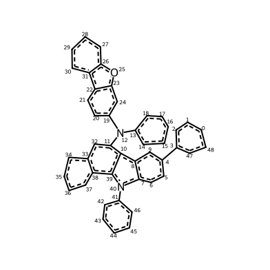 c1ccc(-c2ccc3c(c2)c2c(N(c4ccccc4)c4ccc5c(c4)oc4ccccc45)cc4ccccc4c2n3-c2ccccc2)cc1